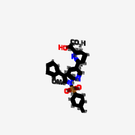 COc1ccccc1-c1cn(S(=O)(=O)c2ccc(C)cc2)c2ncc(-c3cccc(C(O)C(=O)O)n3)cc12